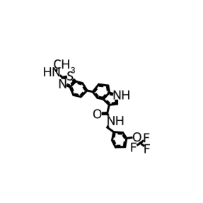 CNc1nc2ccc(-c3ccc4[nH]cc(C(=O)NCc5cccc(OC(F)(F)F)c5)c4c3)cc2s1